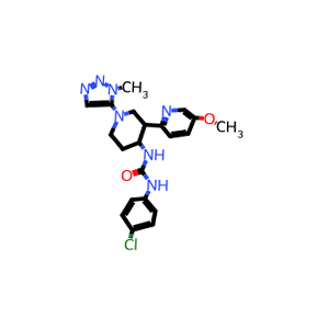 COc1ccc(C2CN(c3cnnn3C)CCC2NC(=O)Nc2ccc(Cl)cc2)nc1